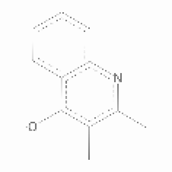 Cc1nc2ccccc2c([O])c1C